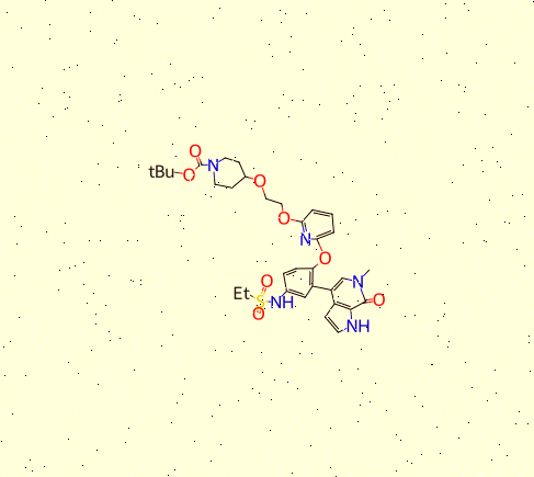 CCS(=O)(=O)Nc1ccc(Oc2cccc(OCCOC3CCN(C(=O)OC(C)(C)C)CC3)n2)c(-c2cn(C)c(=O)c3[nH]ccc23)c1